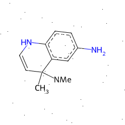 CNC1(C)C=CNc2ccc(N)cc21